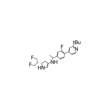 CC(NC1=CN[C@H](C(CF)CF)C1)c1ccc(-c2ccnc(C(C)(C)C)c2)c(F)c1